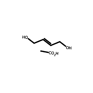 CC(=O)O.OCC=CCO